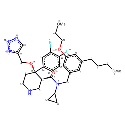 COCCCc1cc(CN(C(=O)[C@H]2CNCC[C@]2(OCc2cnn[nH]2)c2ccc(F)c(F)c2)C2CC2)cc(OCCOC)c1